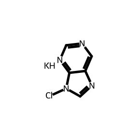 Cln1cnc2cncnc21.[KH]